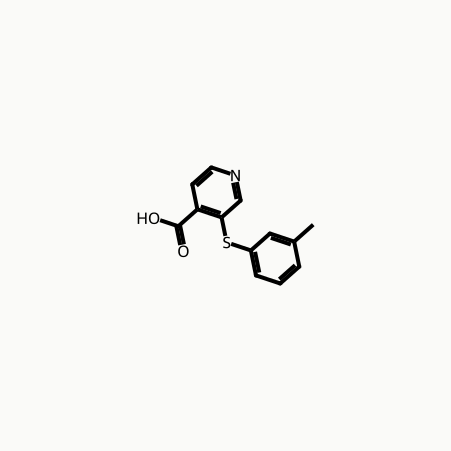 Cc1cccc(Sc2cnccc2C(=O)O)c1